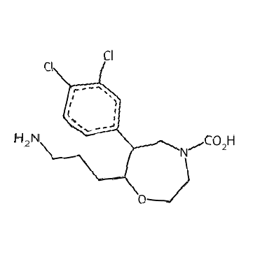 NCCCC1OCCN(C(=O)O)CC1c1ccc(Cl)c(Cl)c1